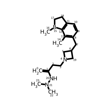 C=C(CCN1CC(Cc2ccc3c(c2C)B(C)CC3)C1)NN(C)C